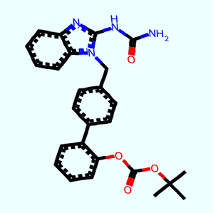 CC(C)(C)OC(=O)Oc1ccccc1-c1ccc(Cn2c(NC(N)=O)nc3ccccc32)cc1